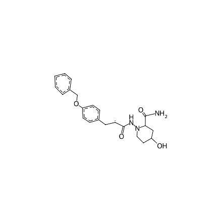 NC(=O)C1CC(O)CCN1NC(=O)[CH]Cc1ccc(OCc2ccccc2)cc1